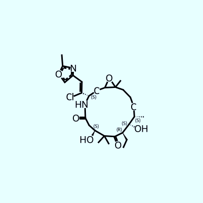 CC[C@H]1C(=O)C(C)(C)[C@@H](O)CC(=O)N[C@H](C(Cl)=Cc2coc(C)n2)CC2OC2(C)CCC[C@H](C)[C@@H]1O